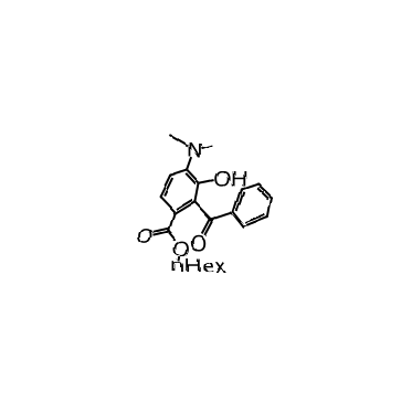 CCCCCCOC(=O)c1ccc(N(C)C)c(O)c1C(=O)c1ccccc1